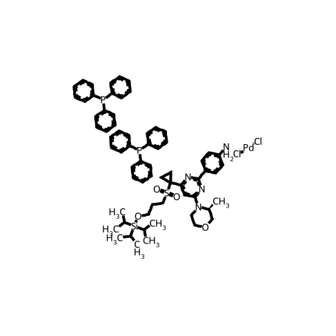 CC(C)[Si](OCCCS(=O)(=O)C1(c2cc(N3CCOC[C@@H]3C)nc(-c3ccc(N)cc3)n2)CC1)(C(C)C)C(C)C.[Cl][Pd][Cl].c1ccc(P(c2ccccc2)c2ccccc2)cc1.c1ccc(P(c2ccccc2)c2ccccc2)cc1